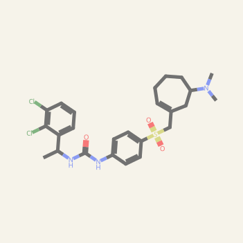 CC(NC(=O)Nc1ccc(S(=O)(=O)CC2=CCCCC(N(C)C)C2)cc1)c1cccc(Cl)c1Cl